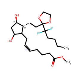 CCCCC(F)(F)C1(CC[C@@H]2C(C/C=C\CCCC(=O)OC)C(O)C[C@H]2O)OCCO1